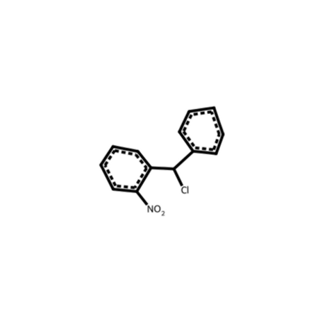 O=[N+]([O-])c1ccccc1C(Cl)c1ccccc1